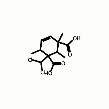 CC1C=CC(C)(C(=O)O)C(C)C1(C(=O)O)C(Cl)Cl